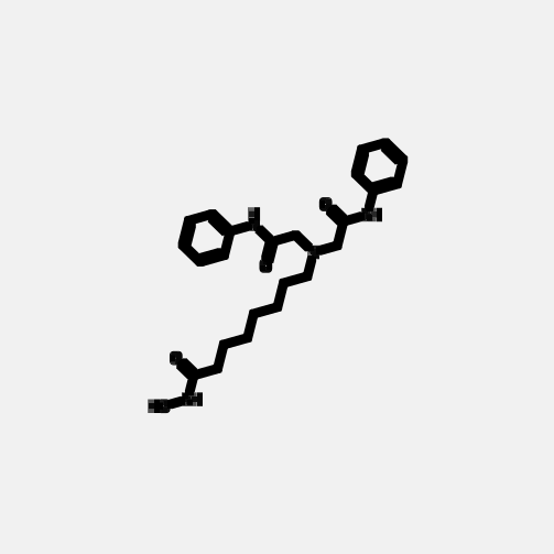 O=C(CCCCCCCN(CC(=O)Nc1ccccc1)CC(=O)Nc1ccccc1)NO